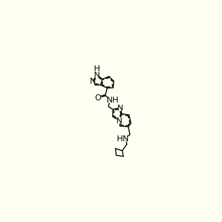 O=C(NCc1cn2cc(CNCC3CCC3)ccc2n1)c1cccc2[nH]ncc12